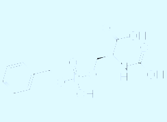 O=C(O)N[C@@H](COP(=O)(O)OCc1ccccc1)C(=O)O